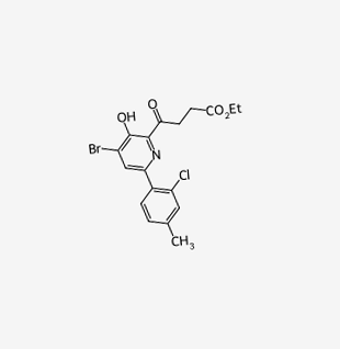 CCOC(=O)CCC(=O)c1nc(-c2ccc(C)cc2Cl)cc(Br)c1O